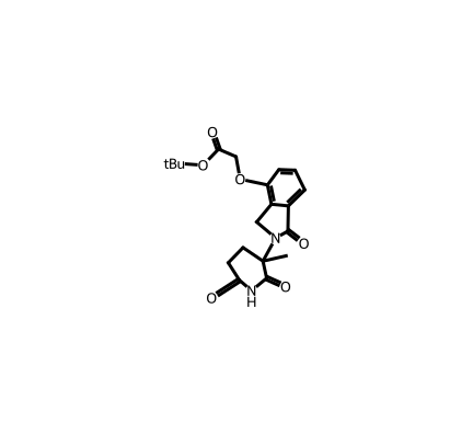 CC(C)(C)OC(=O)COc1cccc2c1CN(C1(C)CCC(=O)NC1=O)C2=O